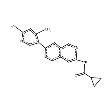 CCCc1cc(C)c(-c2ccc3cc(NC(=O)C4CC4)ncc3c2)cn1